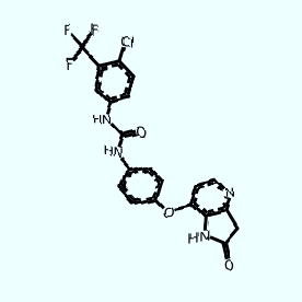 O=C1Cc2nccc(Oc3ccc(NC(=O)Nc4ccc(Cl)c(C(F)(F)F)c4)cc3)c2N1